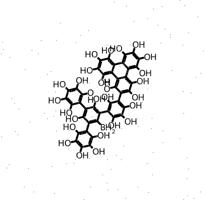 Bc1c(-c2c(O)c(O)c(O)c(O)c2O)c(O)c(-c2c(O)c(O)c(O)c(O)c2O)c(O)c1-c1c(O)c(O)c(O)c(-c2c(O)c(O)c3c4c(O)c(O)c(O)c(O)c4c4c(O)c(O)c(O)c(O)c4c3c2O)c1O